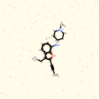 CC#Cc1oc2c(N[C@H]3CCN(C)C[C@H]3F)cccc2c1CC(F)(F)F